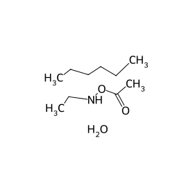 CCCCCC.CCNOC(C)=O.O